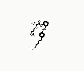 CCCCCCc1ccc(N=Nc2ccccc2OC(=O)C(C)OCCCC)cc1